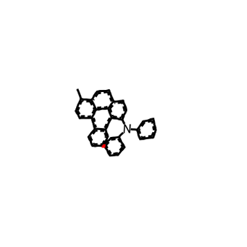 Cc1ccc2c3ccccc3c3c(N(c4ccccc4)c4ccccc4)ccc4ccc1c2c43